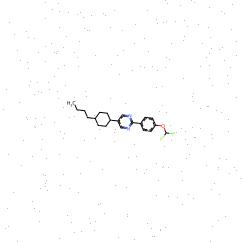 CCCCC1CCC(c2cnc(-c3ccc(OC(F)F)cc3)nc2)CC1